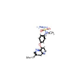 COc1cnc2c(Oc3ccc(N(C)S(=O)(=O)NN)cc3)ccnc2c1